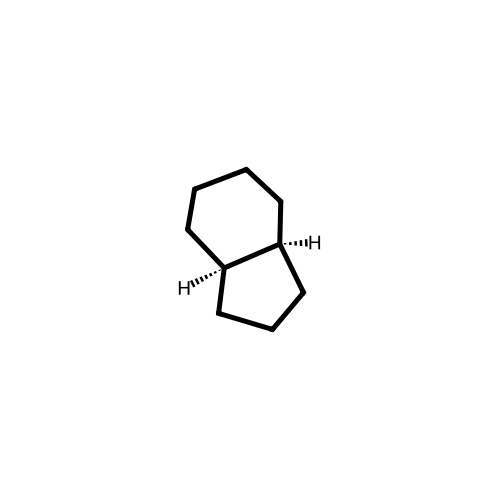 C1CC[C@H]2CCC[C@H]2C1